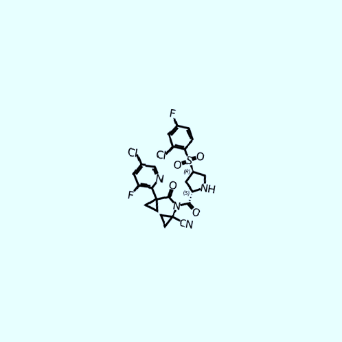 N#CC1(N(C(=O)[C@@H]2C[C@@H](S(=O)(=O)c3ccc(F)cc3Cl)CN2)C(=O)C2(c3ncc(Cl)cc3F)CC2)CC1